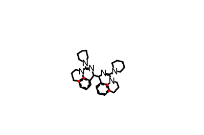 c1ccc(C(N=C(N2CCCCC2)N2CCCCC2)C(N=C(N2CCCCC2)N2CCCCC2)c2ccccc2)cc1